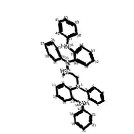 C[SiH](CN(c1ccccc1)C1C=CC=CC1Nc1ccccc1)N(c1ccccc1)c1ccccc1Nc1ccccc1